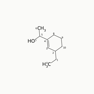 CCC1C=C(C(C)O)CCC1